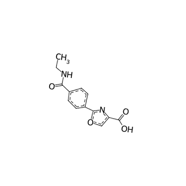 CCNC(=O)c1ccc(-c2nc(C(=O)O)co2)cc1